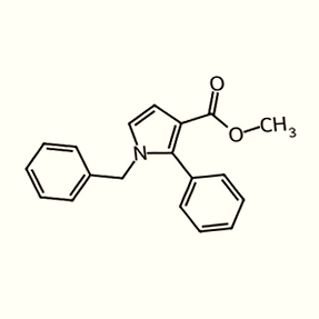 COC(=O)c1ccn(Cc2ccccc2)c1-c1ccccc1